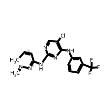 C=N/N=C(\C=C/C)Nc1ncc(Cl)c(Nc2cccc(C(F)(F)F)c2)n1